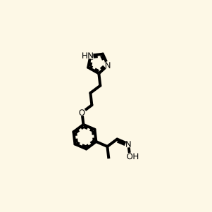 CC(/C=N\O)c1cccc(OCCCc2c[nH]cn2)c1